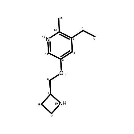 CCc1cc(OC[C@@H]2CCN2)cnc1C